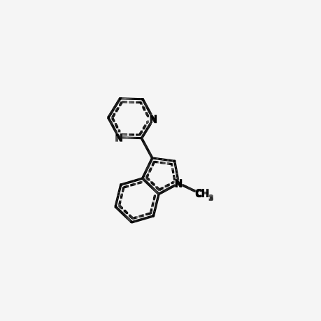 Cn1cc(-c2ncccn2)c2ccccc21